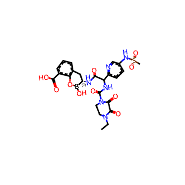 CCN1CCN(C(=O)NC(C(=O)N[C@H]2Cc3cccc(C(=O)O)c3OB2O)c2ccc(NS(C)(=O)=O)cn2)C(=O)C1=O